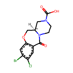 O=C(O)N1CCN2C(=O)c3cc(Cl)c(Br)cc3OC[C@H]2C1